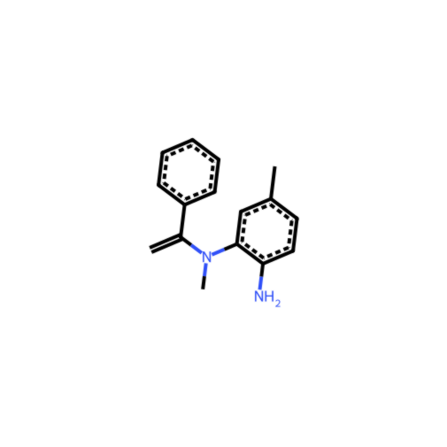 C=C(c1ccccc1)N(C)c1cc(C)ccc1N